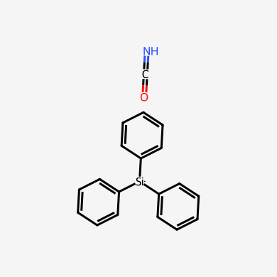 N=C=O.c1ccc([Si](c2ccccc2)c2ccccc2)cc1